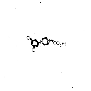 CCOC(=O)CN1CCN(c2cc(Cl)cc(Cl)c2)CC1